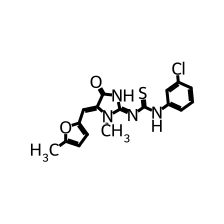 Cc1ccc(/C=C2/C(=O)N/C(=N\C(=S)Nc3cccc(Cl)c3)N2C)o1